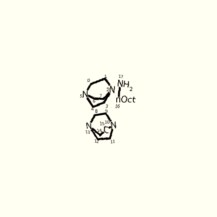 C1CN2CCN1CC2.C1CN2CCN1CC2.CCCCCCCCN